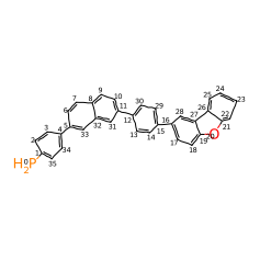 Pc1ccc(-c2ccc3ccc(-c4ccc(-c5ccc6oc7ccccc7c6c5)cc4)cc3c2)cc1